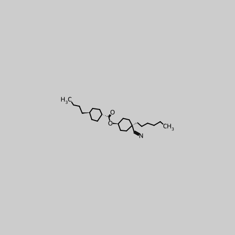 CCCCCC[C@]1(C#N)CC[C@@H](OC(=O)[C@H]2CC[C@H](CCCC)CC2)CC1